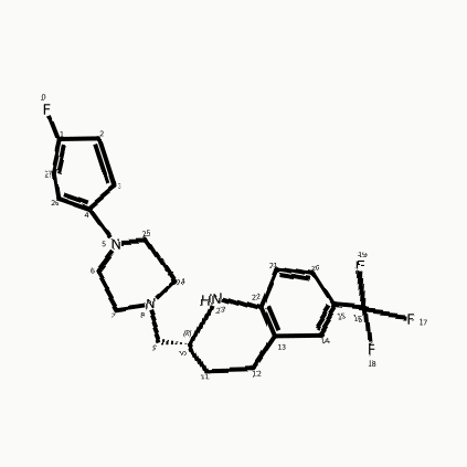 Fc1ccc(N2CCN(C[C@H]3CCc4cc(C(F)(F)F)ccc4N3)CC2)cc1